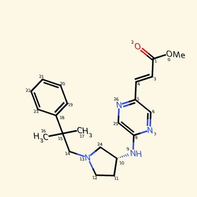 COC(=O)/C=C/c1cnc(N[C@@H]2CCN(CC(C)(C)c3ccccc3)C2)cn1